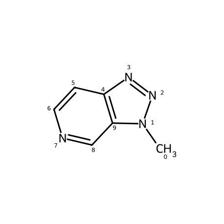 Cn1nnc2ccncc21